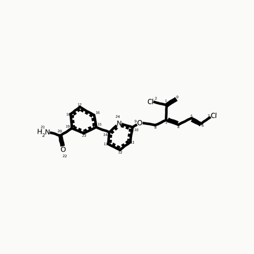 C=C(Cl)/C(=C\C=C\Cl)COc1cccc(-c2cccc(C(N)=O)c2)n1